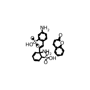 Nc1ccc(C=CC2(N)C=CC=CC2S(=O)(=O)O)c(S(=O)(=O)O)c1.O=c1ccc2ccccc2o1